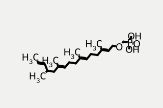 CC=CC(C)C/C(C)=C/CC/C(C)=C/CC/C(C)=C/COCP(=O)(O)O